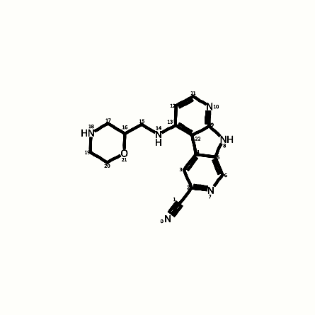 N#Cc1cc2c(cn1)[nH]c1nccc(NCC3CNCCO3)c12